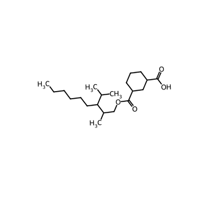 CCCCCCC(C(C)C)C(C)COC(=O)C1CCCC(C(=O)O)C1